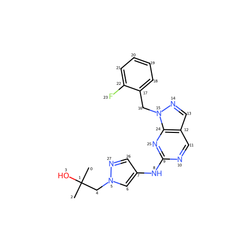 CC(C)(O)Cn1cc(Nc2ncc3cnn(Cc4ccccc4F)c3n2)cn1